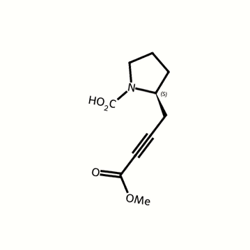 COC(=O)C#CC[C@@H]1CCCN1C(=O)O